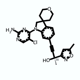 Cc1cc([C@@](C)(O)C#Cc2ccc3c(c2)N(c2nc(N)ncc2Cl)CC32CCOCC2)no1